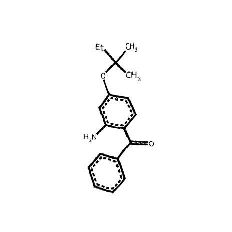 CCC(C)(C)Oc1ccc(C(=O)c2ccccc2)c(N)c1